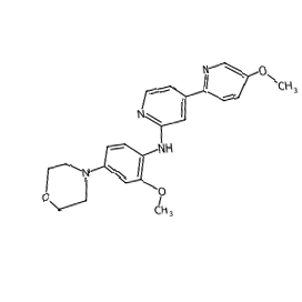 COc1ccc(-c2ccnc(Nc3ccc(N4CCOCC4)cc3OC)c2)nc1